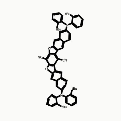 CC(C)(C)c1ccccc1N(c1ccc2cc3c(cc2c1)oc1c(C#N)c2oc4cc5cc(N(c6ccccc6C(C)(C)C)c6ccccc6C(C)(C)C)ccc5cc4c2c(C#N)c13)c1ccccc1C(C)(C)C